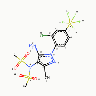 CS(=O)(=O)N(c1c(C#N)nn(-c2ccc(S(F)(F)(F)(F)F)cc2Cl)c1N)S(C)(=O)=O